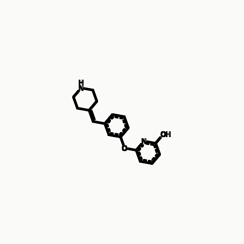 Oc1cccc(Oc2cccc(C=C3CCNCC3)c2)n1